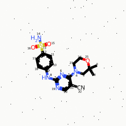 CC1(C)CN(c2nc(Nc3ccc(S(N)(=O)=O)cc3)ncc2C#N)CCO1